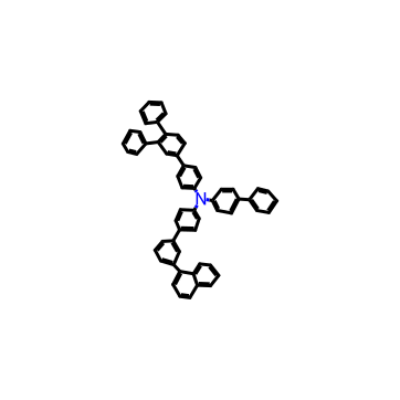 c1ccc(-c2ccc(N(c3ccc(-c4cccc(-c5cccc6ccccc56)c4)cc3)c3ccc(-c4ccc(-c5ccccc5)c(-c5ccccc5)c4)cc3)cc2)cc1